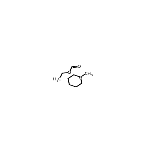 CCOC=O.CN1CCCCC1